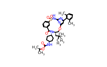 Cc1cccc(C)c1-c1cc2nc(n1)NS(=O)(=O)c1cccc(c1)C(=O)N([C@H]1CC[C@H](NC(=O)OC(C)C)CC1)[C@H](CC(C)(C)C)CO2